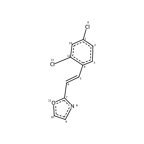 Clc1ccc(C=Cc2ncco2)c(Cl)c1